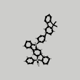 CC1(C)c2ccccc2-c2cc(-c3ccc(-n4c5ccccc5c5cc6c(cc54)-c4ccccc4P6(=O)c4ccccc4)cc3)ccc21